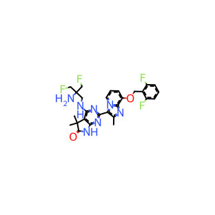 Cc1nc2c(OCc3c(F)cccc3F)cccn2c1-c1nc(NCC(N)(CF)CF)c2c(n1)NC(=O)C2(C)C